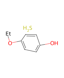 CCOc1ccc(O)cc1.S